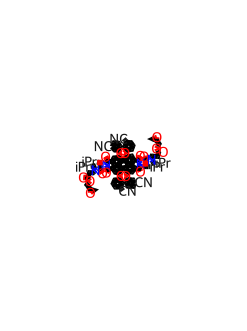 CC(C)CC(C(=O)N(CCC(=O)OCC1CO1)CC(C)C)N1C(=O)c2cc(Oc3cccc(C#N)c3)c3c4c(Oc5cccc(C#N)c5)cc5c6c(cc(Oc7cccc(C#N)c7)c(c7c(Oc8cccc(C#N)c8)cc(c2c37)C1=O)c64)C(=O)N(C(CC(C)C)C(=O)N(CCC(=O)OCC1CO1)CC(C)C)C5=O